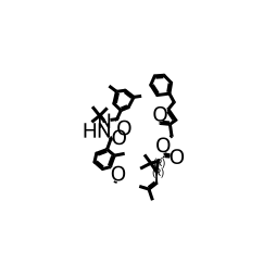 CC(C)=C[C@@H]1[C@@H](C(=O)OCc2coc(Cc3ccccc3)c2)C1(C)C.COc1cccc(C(=O)NN(C(=O)c2cc(C)cc(C)c2)C(C)(C)C)c1C